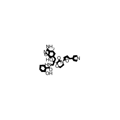 Nc1noc2cc(CC(O)(CNC(=O)c3ccccc3O)[C@H]3OCCN(c4ccc(-c5ccncc5)o4)C3=O)ccc12